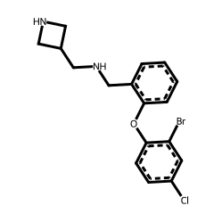 Clc1ccc(Oc2ccccc2CNCC2CNC2)c(Br)c1